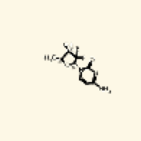 [CH2][C@@H]1O[C@@H](n2ccc(N)nc2=O)C(F)(F)[C@@H]1O